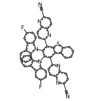 N#Cc1ccc2nc(-c3c(-n4c5ccccc5c5cc(F)ccc54)c(-n4c5ccccc5c5cc(F)ccc54)c(-c4ccc5nc(C#N)ccc5n4)c4c3sc3ccccc34)ccc2n1